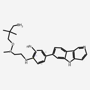 BCC(C)(C)CON(C)CCNC(/C=C\C(=C/C)c1ccc2c(c1)[nH]c1ccncc12)=C\CCC